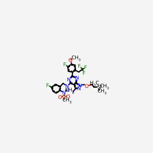 COc1cc(CC(F)(F)F)c(-c2nc(NCc3cc(F)ccc3N(C)S(C)(=O)=O)c3c(I)nn(COCC[Si](C)(C)C)c3n2)cc1F